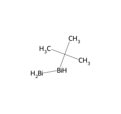 C[C](C)(C)[BiH][BiH2]